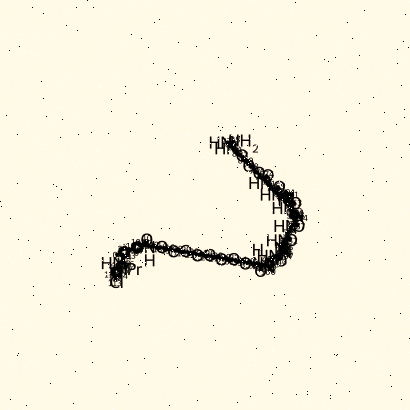 Cc1ccc(-c2ccc(C(=O)NCCOCCOCCOCCOCCOCCOCCOCCOCCNC(=O)c3cc(NC(=O)c4nc(NC(=O)CCNC(=O)c5cc(NC(=O)c6nc(NC(=O)CCNC(=O)COCCOCCOCCNC(=N)N)cn6C)cn5C)cn4C)cn3C)cc2)cc1C(CC(C)C)Nc1ccc(Cl)cc1